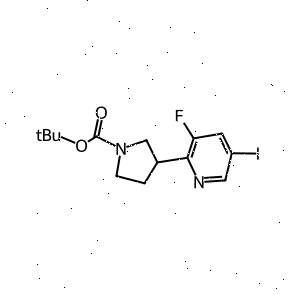 CC(C)(C)OC(=O)N1CCC(c2ncc(I)cc2F)C1